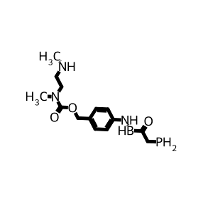 CNCCN(C)C(=O)OCc1ccc(NBC(=O)CP)cc1